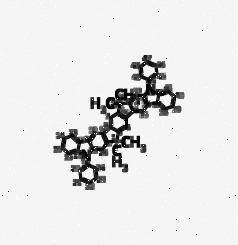 CC1(C)c2cc3c(cc2-c2cc4c5ccccc5n(-c5ccccc5)c4cc21)C(C)(C)c1cc2c(cc1-3)c1ccccc1n2-c1ccccc1